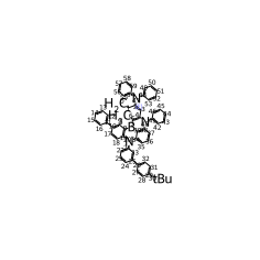 C=C/C(=C\C1=C(C)B2c3cc(-c4ccccc4)ccc3N(c3cccc(-c4ccc(C(C)(C)C)cc4)c3)c3cccc(c32)N1c1ccccc1)N(c1ccccc1)c1ccccc1